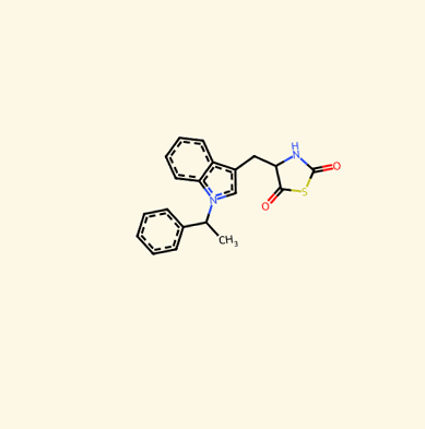 CC(c1ccccc1)n1cc(CC2NC(=O)SC2=O)c2ccccc21